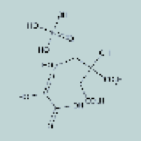 O=C(O)C(=O)O.O=C(O)CC(O)(CC(=O)O)C(=O)O.O=P(O)(O)O